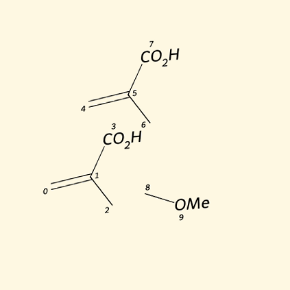 C=C(C)C(=O)O.C=C(C)C(=O)O.COC